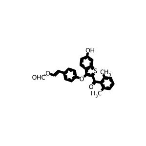 Cc1cccc(C)c1C(=O)c1sc2cc(O)ccc2c1Oc1ccc(/C=C/OC=O)cc1